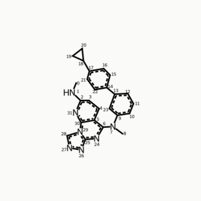 CNc1ccc2c(N(C)c3cccc(-c4ccc(C5CC5)cc4)c3)nc3nncn3c2n1